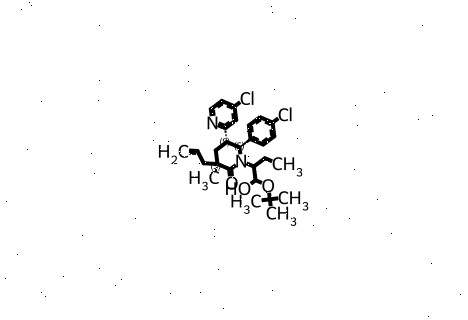 C=CC[C@@]1(C)C[C@H](c2cc(Cl)ccn2)[C@@H](c2ccc(Cl)cc2)N(C(CC)C(O)OC(C)(C)C)C1=O